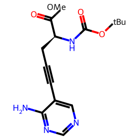 COC(=O)[C@H](CC#Cc1cncnc1N)NC(=O)OC(C)(C)C